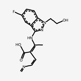 C=N/C=C\C(C(=O)O)=C(/C)Nc1nn(CCO)c2ccc(F)cc12